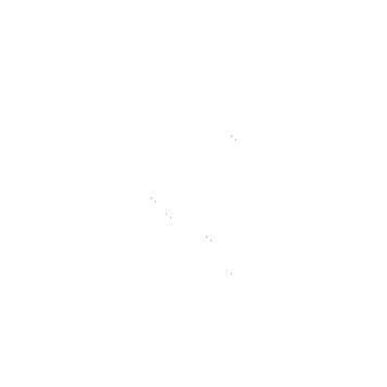 c1cnc2nc(-c3nn4c(c3-c3ccnc5ccccc35)CCCC4)ccc2c1